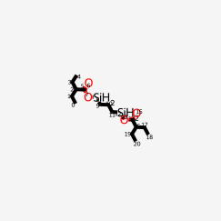 CCC(CC)C(=O)O[SiH2]CCC[SiH2]OC(=O)C(CC)CC